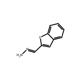 NN=Cc1cc2ccccc2o1